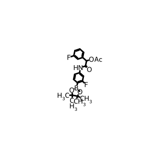 CC(=O)OC(C(=O)Nc1ccc(B2OC(C)(C)C(C)(C)O2)c(F)c1)c1cccc(F)c1